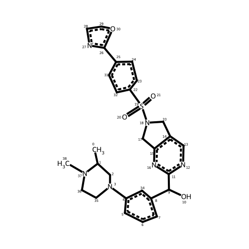 CC1CN(c2cccc(C(O)c3ncc4c(n3)CN(S(=O)(=O)c3ccc(-c5ncco5)cc3)C4)c2)CCN1C